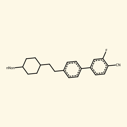 CCCCCCCCCC1CCC(CCc2ccc(-c3ccc(C#N)c(F)c3)cc2)CC1